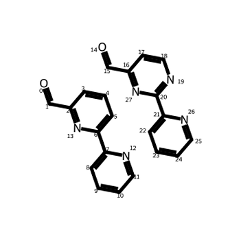 O=Cc1cccc(-c2ccccn2)n1.O=Cc1ccnc(-c2ccccn2)n1